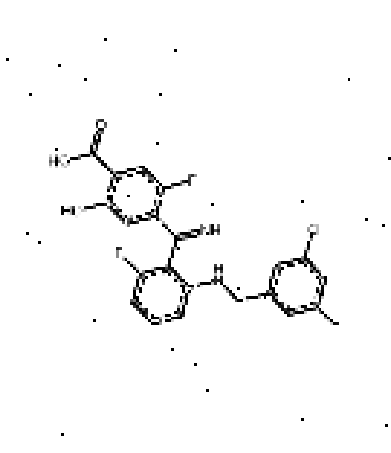 N=C(c1cc(O)c(C(=O)O)cc1F)c1c(F)cccc1NCc1cc(F)cc(Cl)c1